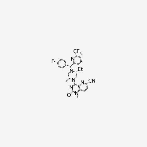 CC[C@@H]1CN(c2nc(=O)n(C)c3ccc(C#N)nc23)[C@@H](C)CN1C(c1ccc(F)cc1)c1cccc(C(F)(F)F)n1